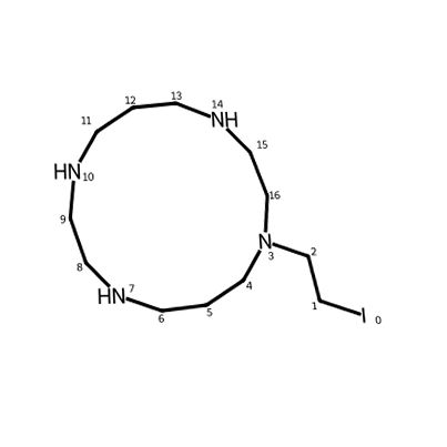 ICCN1CCCNCCNCCCNCC1